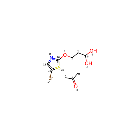 CC(C)=O.OC(O)CCOc1ncc(Br)s1